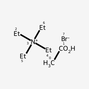 CC(=O)O.CC[N+](CC)(CC)CC.[Br-]